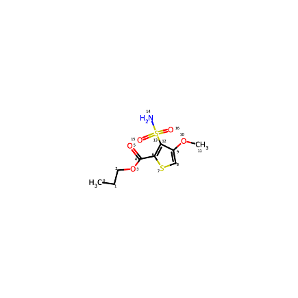 CCCOC(=O)c1scc(OC)c1S(N)(=O)=O